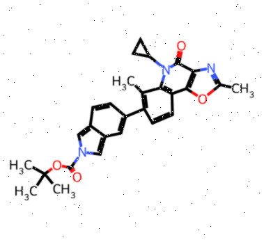 Cc1nc2c(=O)n(C3CC3)c3c(C)c(-c4ccc5cn(C(=O)OC(C)(C)C)cc5c4)ccc3c2o1